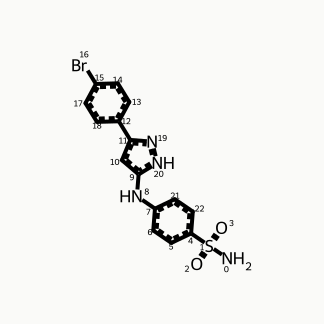 NS(=O)(=O)c1ccc(Nc2cc(-c3ccc(Br)cc3)n[nH]2)cc1